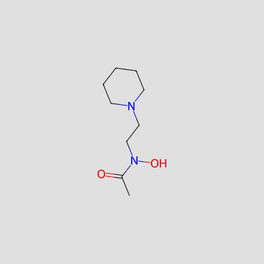 CC(=O)N(O)CCN1CCCCC1